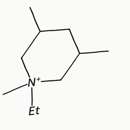 CC[N+]1(C)CC(C)CC(C)C1